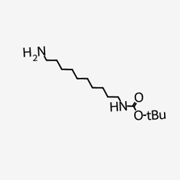 CC(C)(C)OC(=O)NCCCCCCCCCCN